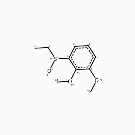 [CH2]C[S+]([O-])c1cccc(OC)c1OC